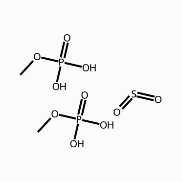 COP(=O)(O)O.COP(=O)(O)O.O=S=O